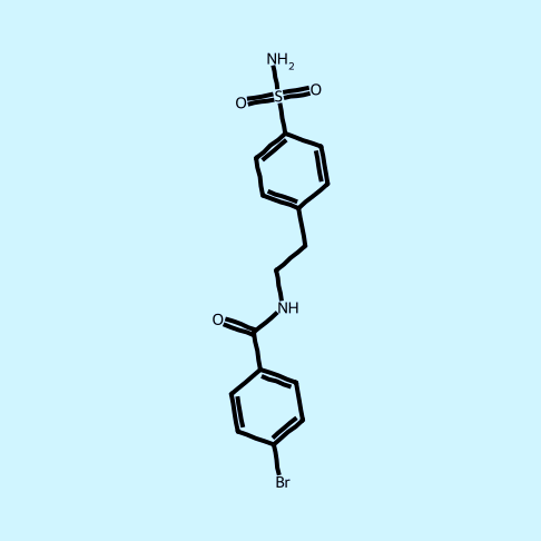 NS(=O)(=O)c1ccc(CCNC(=O)c2ccc(Br)cc2)cc1